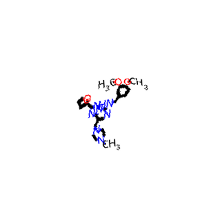 COc1ccc(CNc2ncc(CN3CCN(C)CC3)c3nc(-c4ccco4)nn23)cc1OC